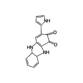 O=C1C(=O)C2=C(C=C1c1ccc[nH]1)NC1C=CC=CC1N2